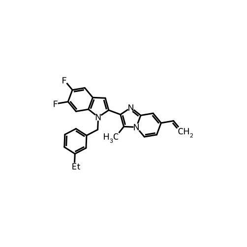 C=Cc1ccn2c(C)c(-c3cc4cc(F)c(F)cc4n3Cc3cccc(CC)c3)nc2c1